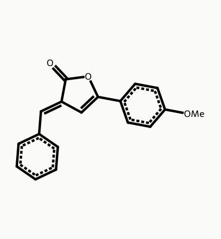 COc1ccc(C2=C/C(=C\c3ccccc3)C(=O)O2)cc1